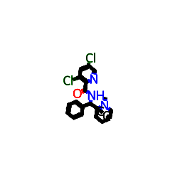 CN1CC2CCC1(C(NC(=O)c1ncc(Cl)cc1Cl)c1ccccc1)CC2